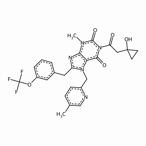 Cc1ccc(Cn2c(Cc3cccc(OC(F)(F)F)c3)nc3c2c(=O)n(C(=O)CC2(O)CC2)c(=O)n3C)nc1